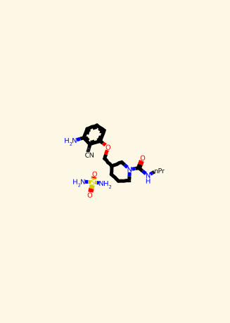 CCCNC(=O)N1CCCC(COc2cccc(N)c2C#N)C1.NS(N)(=O)=O